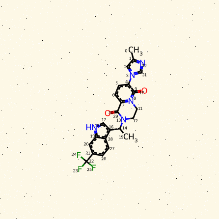 Cc1cn(-c2ccc3n(c2=O)CCN(C(C)c2c[nH]c4cc(C(F)(F)F)ccc24)C3=O)cn1